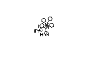 CC(C)Oc1nccc2c1c(-c1cn[nH]c1)nn2C(c1ccccc1)(c1ccccc1)c1ccccc1